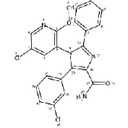 COc1ncc(Cl)cc1-n1c(-c2ccccc2)nc(C(N)=O)c1-c1cccc(Cl)c1